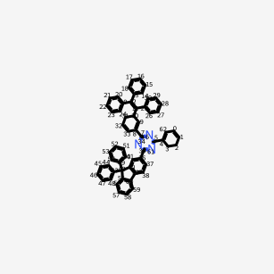 C1=CCCC(c2nc(C3=CC(C(=C(c4ccccc4)c4ccccc4)c4ccccc4)CC=C3)nc(-c3ccc4c(c3)C(c3ccccc3)(c3ccccc3)c3ccccc3-4)n2)=C1